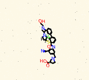 CC1(Cl)C(c2ccccc2)=CC=CC1(SC1CCN(C2CN(CCO)C2)C1)c1nc2cc(CN3CC[C@@H](C(=O)O)C3)cc(C#N)c2o1